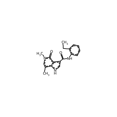 CCc1ccccc1NC(=O)c1c[nH]c2c(C)cn(C)c(=O)c12